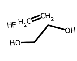 C=C.F.OCCO